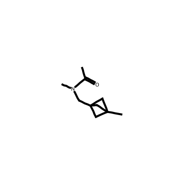 CC(=O)N(C)CC12CC(C)(C1)C2